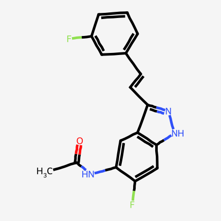 CC(=O)Nc1cc2c(C=Cc3cccc(F)c3)n[nH]c2cc1F